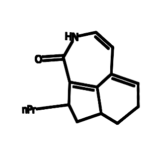 CCCC1CC2CCC=C3C=CNC(=O)C1=C32